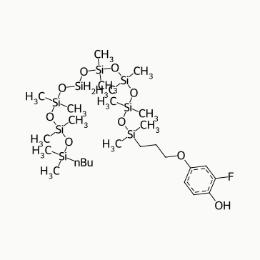 CCCC[Si](C)(C)O[Si](C)(C)O[Si](C)(C)O[SiH2]O[Si](C)(C)O[Si](C)(C)O[Si](C)(C)O[Si](C)(C)CCCOc1ccc(O)c(F)c1